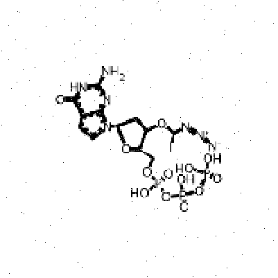 [N-]=[N+]=N[C@@H](I)OC1C[C@H](n2ccc3c(=O)[nH]c(N)nc32)O[C@@H]1COP(=O)(O)OP(=O)(O)OP(=O)(O)O